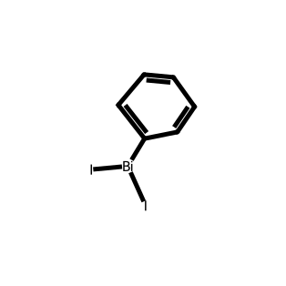 [I][Bi]([I])[c]1ccccc1